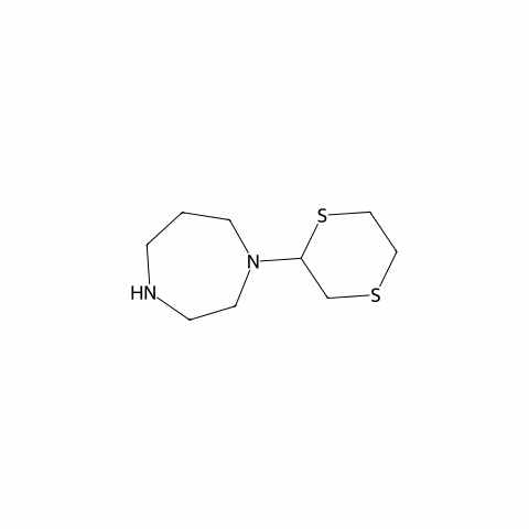 C1CNCCN(C2CSCCS2)C1